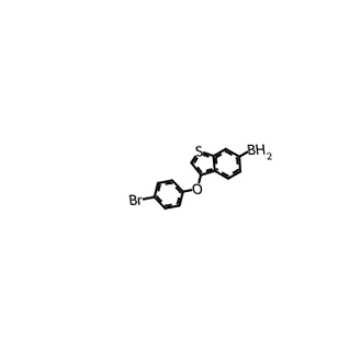 Bc1ccc2c(Oc3ccc(Br)cc3)csc2c1